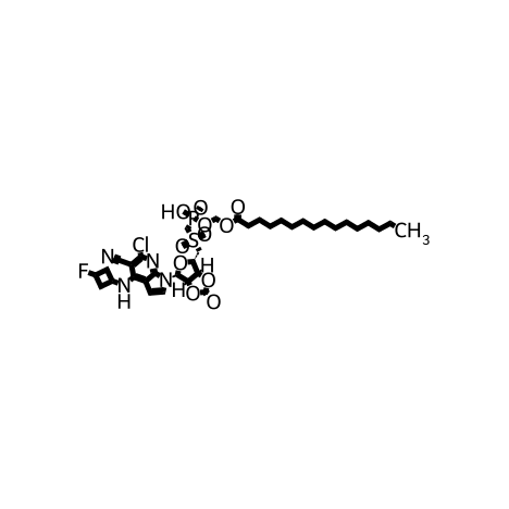 CCCCCCCCCCCCCCCC(=O)OCOP(=O)(O)CS(=O)(=O)C[C@H]1O[C@@H](n2ccc3c(NC4CC(F)C4)c(C#N)c(Cl)nc32)[C@@H]2OC(=O)O[C@@H]21